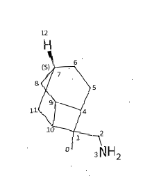 CC1(CN)C2CC[C@H]3CC2C1C3